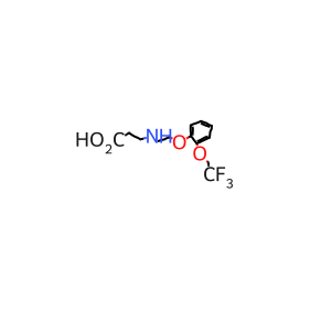 O=C(O)CCNCCOc1ccccc1OCC(F)(F)F